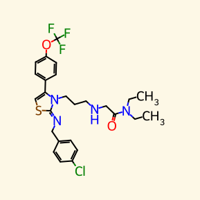 CCN(CC)C(=O)CNCCCn1c(-c2ccc(OC(F)(F)F)cc2)cs/c1=N\Cc1ccc(Cl)cc1